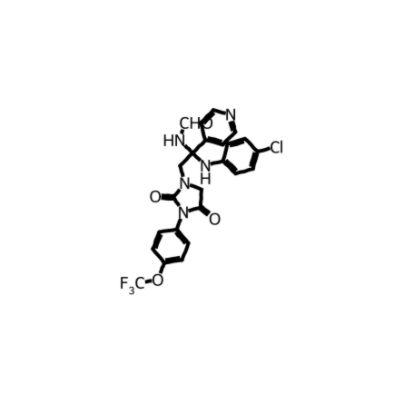 O=CNC(CN1CC(=O)N(c2ccc(OC(F)(F)F)cc2)C1=O)(Nc1ccc(Cl)cc1)c1ccncc1